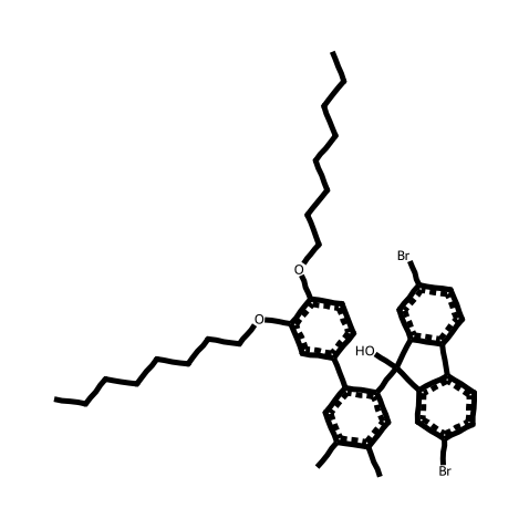 CCCCCCCCOc1ccc(-c2cc(C)c(C)cc2C2(O)c3cc(Br)ccc3-c3ccc(Br)cc32)cc1OCCCCCCCC